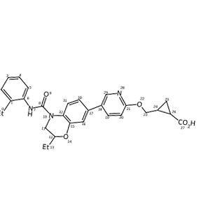 CCc1ccccc1NC(=O)N1CC(CC)Oc2cc(-c3ccc(OCC4CC4C(=O)O)nc3)ccc21